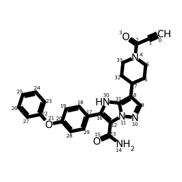 C#CC(=O)N1CCC(c2cnn3c(C(N)=O)c(-c4ccc(Oc5ccccc5)cc4)[nH]c23)CC1